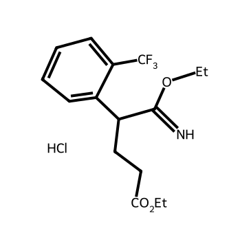 CCOC(=N)C(CCC(=O)OCC)c1ccccc1C(F)(F)F.Cl